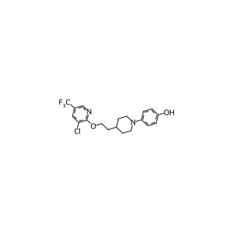 Oc1ccc(N2CCC(CCOc3ncc(C(F)(F)F)cc3Cl)CC2)cc1